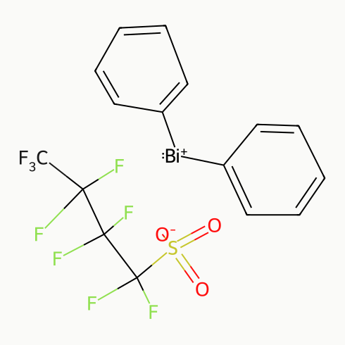 O=S(=O)([O-])C(F)(F)C(F)(F)C(F)(F)C(F)(F)F.c1cc[c]([Bi+][c]2ccccc2)cc1